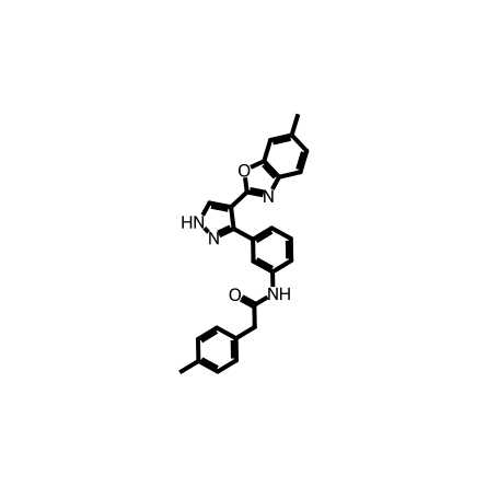 Cc1ccc(CC(=O)Nc2cccc(-c3n[nH]cc3-c3nc4ccc(C)cc4o3)c2)cc1